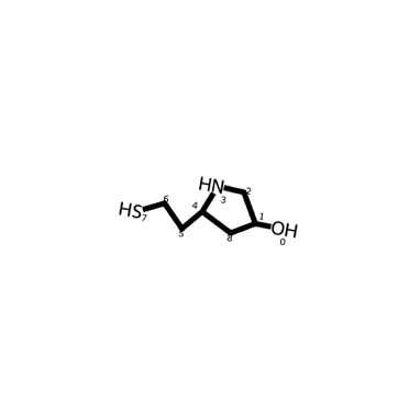 OC1CNC(CCS)C1